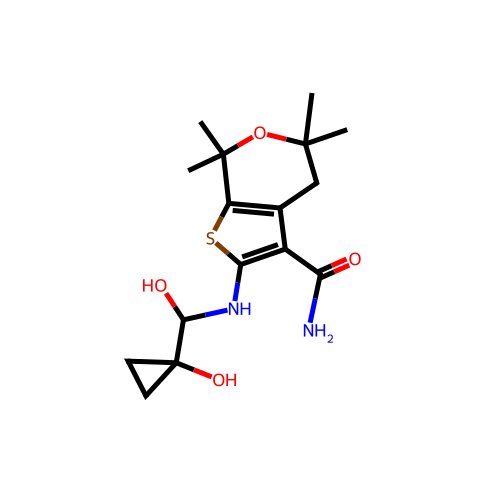 CC1(C)Cc2c(sc(NC(O)C3(O)CC3)c2C(N)=O)C(C)(C)O1